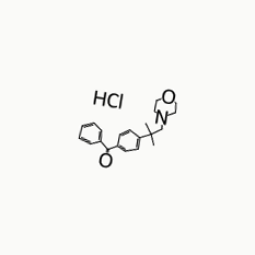 CC(C)(CN1CCOCC1)c1ccc(C(=O)c2ccccc2)cc1.Cl